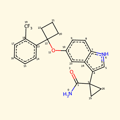 NC(=O)C1(c2c[nH]c3ccc(OC4(c5ccccc5C(F)(F)F)CCC4)cc23)CC1